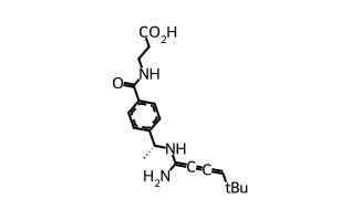 C[C@@H](NC(N)=C=C=CC(C)(C)C)c1ccc(C(=O)NCCC(=O)O)cc1